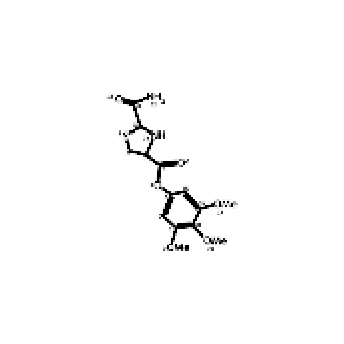 COc1cc(OC(=O)C2CSC(C(N)=O)N2)cc(OC)c1OC